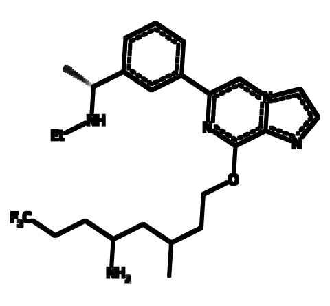 CCN[C@H](C)c1cccc(-c2cn3ccnc3c(OCCC(C)CC(N)CCC(F)(F)F)n2)c1